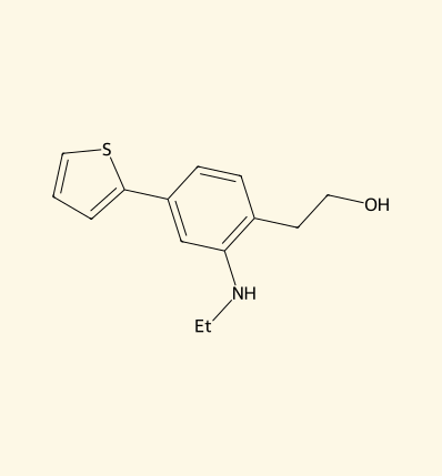 CCNc1cc(-c2cccs2)ccc1CCO